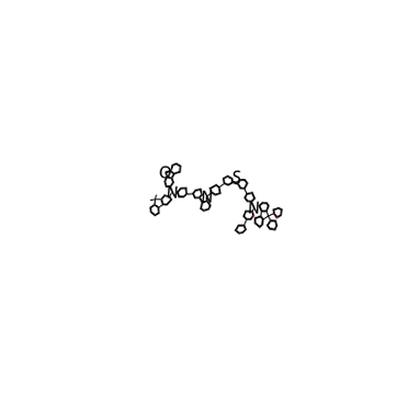 CC1(C)c2ccccc2-c2ccc(N(c3ccc(-c4ccc5c(c4)c4ccccc4n5-c4ccc(-c5ccc6sc7ccc(-c8ccc(N(c9ccc(-c%10ccccc%10)cc9)c9cccc%10c9-c9ccccc9C%10(c9ccccc9)c9ccccc9)cc8)cc7c6c5)cc4)cc3)c3ccc4oc5ccccc5c4c3)cc21